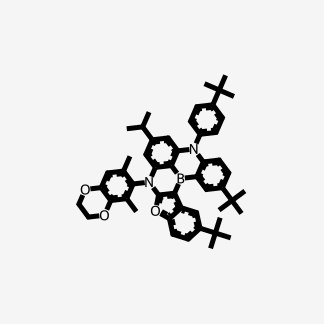 Cc1cc2c(c(C)c1N1c3cc(C(C)C)cc4c3B(c3cc(C(C)(C)C)ccc3N4c3ccc(C(C)(C)C)cc3)c3c1oc1ccc(C(C)(C)C)cc31)OCCO2